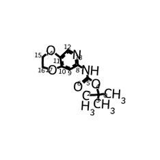 CC(C)(C)OC(=O)Nc1cc2c(cn1)OCCO2